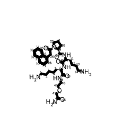 NCCCCC[C@H](NC(=O)[C@H](CCCCN)NC(=O)[C@@H]1CCCN1C(=O)Cc1cccc2ccccc12)C(=O)NCCOCC(N)=O